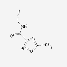 Cc1cc(C(=O)NCI)no1